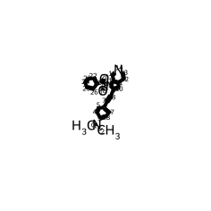 CN(C)c1ccc(C#Cc2cc3ccncc3n2S(=O)(=O)c2ccccc2)cc1